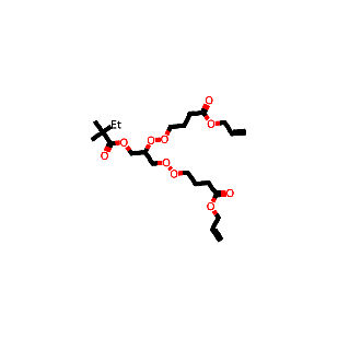 C=CCOC(=O)CCCOOCC(COC(=O)C(C)(C)CC)OOCCCC(=O)OCC=C